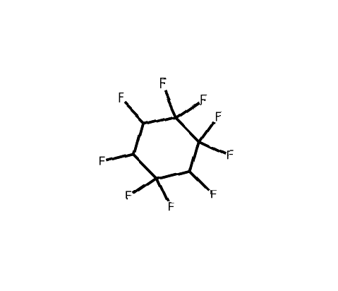 FC1C(F)C(F)(F)C(F)(F)C(F)C1(F)F